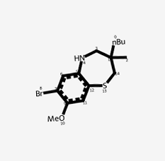 CCCCC1(C)CNc2cc(Br)c(OC)cc2SC1